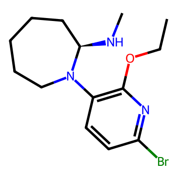 CCOc1nc(Br)ccc1N1CCCCC[C@H]1NC